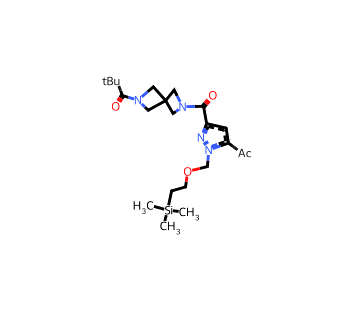 CC(=O)c1cc(C(=O)N2CC3(C2)CN(C(=O)C(C)(C)C)C3)nn1COCC[Si](C)(C)C